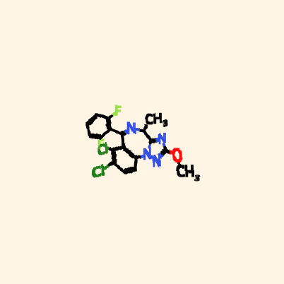 COc1nc2n(n1)-c1ccc(Cl)c(Cl)c1C(c1c(F)cccc1F)=N[C@H]2C